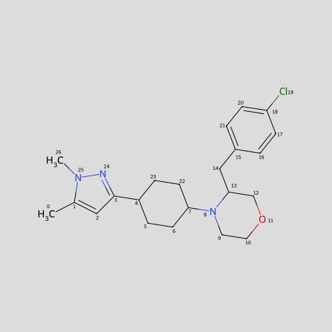 Cc1cc(C2CCC(N3CCOCC3Cc3ccc(Cl)cc3)CC2)nn1C